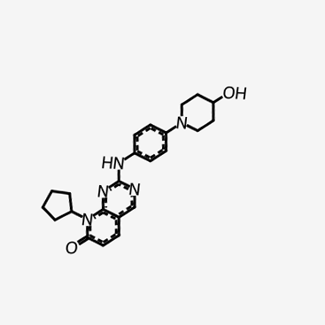 O=c1ccc2cnc(Nc3ccc(N4CCC(O)CC4)cc3)nc2n1C1CCCC1